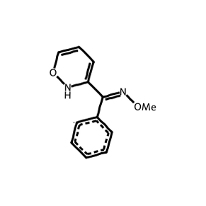 CON=C(C1=CC=CON1)c1[c]cccc1